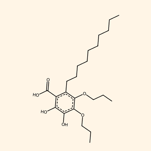 CCCCCCCCCCc1c(OCCC)c(OCCC)c(O)c(O)c1C(=O)O